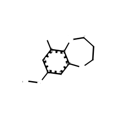 CCCNc1cc2c(c(C(=O)O)c1)OCCCO2